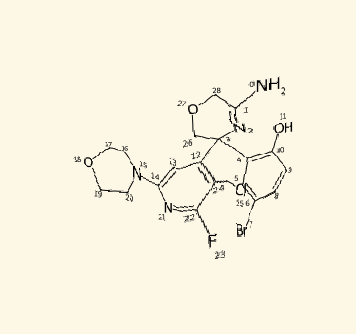 NC1=NC(c2cc(Br)ccc2O)(c2cc(N3CCOCC3)nc(F)c2Cl)COC1